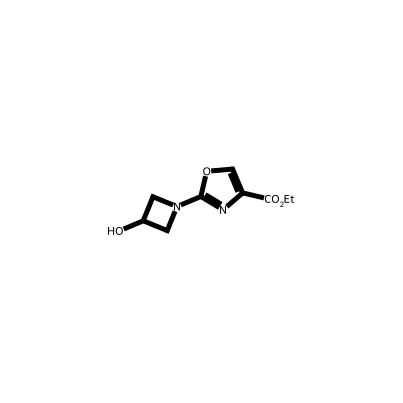 CCOC(=O)c1coc(N2CC(O)C2)n1